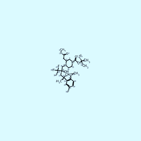 COC(=O)CC1CN(C(=O)OC(C)(C)C)CCN1CC(O)(CC(C)(C)c1cc(F)ccc1OC)C(F)(F)F